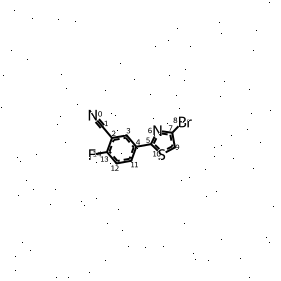 N#Cc1cc(-c2nc(Br)cs2)ccc1F